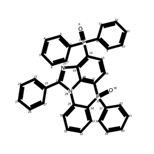 O=P(c1ccccc1)(c1ccccc1)c1ccc2c3c1nc(-c1ccccc1)n3-c1ccccc1P2(=O)c1ccccc1